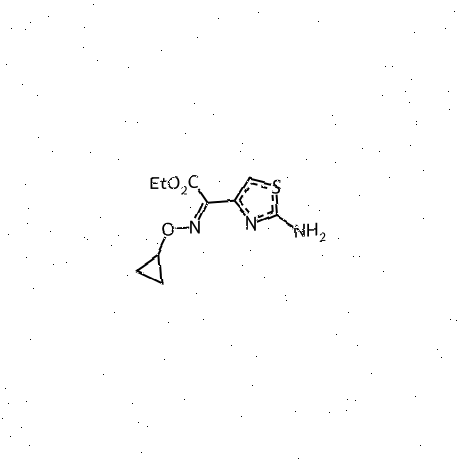 CCOC(=O)C(=NOC1CC1)c1csc(N)n1